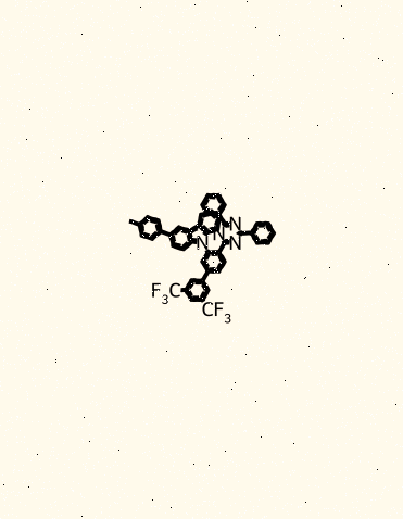 Cc1ccc(-c2ccc3c(c2)c2ccccc2n3-c2cc(-c3cc(C(F)(F)F)cc(C(F)(F)F)c3)ccc2-c2nc(-c3ccccc3)nc(-c3ccccc3)n2)cc1